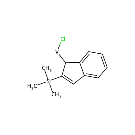 C[Si](C)(C)C1=Cc2ccccc2[CH]1[V][Cl]